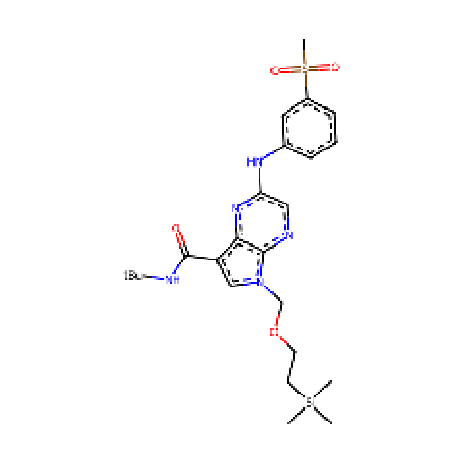 CC(C)(C)NC(=O)c1cn(COCC[Si](C)(C)C)c2ncc(Nc3cccc(S(C)(=O)=O)c3)nc12